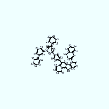 C1=C(c2cccc3c2-c2cc(-c4ccc(C5=NC(c6ccccc6)=NC(c6cccc(-c7ccccc7)c6)C5)cc4)c4ccccc4c2C3)CCc2ccccc21